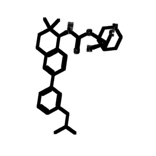 CC(C)Cc1cccc(-c2ccc3c(c2)CCC(C)(C)[C@H]3NC(=O)O[C@@H]2CN3CCC2CC3)c1